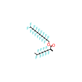 C=C(C(=O)OCC(F)(F)C(F)(F)C(F)(F)C(F)(F)C(F)(F)C(F)(F)C(F)(F)C(F)F)C(F)(F)C(F)(F)C(F)(F)C(F)(F)C(C)F